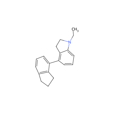 CCN1CCc2c(-c3cccc4c3CCC4)cccc21